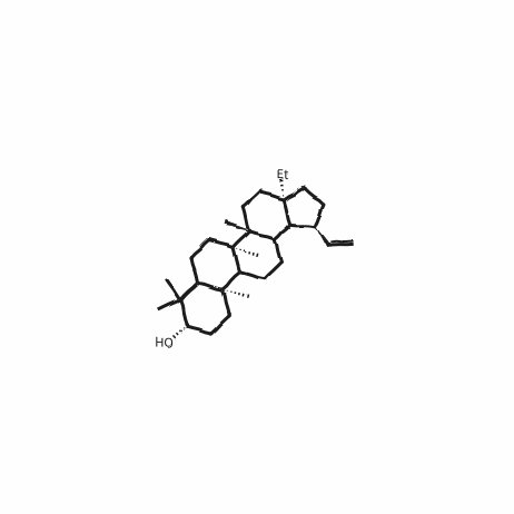 C=C[C@@H]1CC[C@]2(CC)CC[C@]3(C)C(CCC4[C@@]5(C)CC[C@H](O)C(C)(C)C5CC[C@]43C)C12